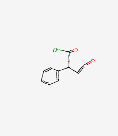 O=C=CC(C(=O)Cl)c1ccccc1